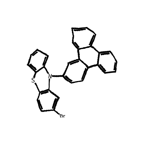 Brc1ccc2c(c1)N(c1ccc3c4ccccc4c4ccccc4c3c1)c1ccccc1S2